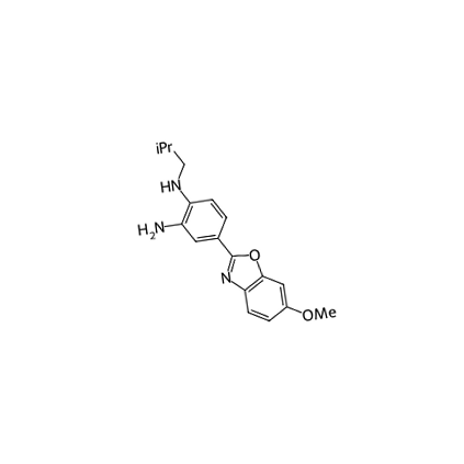 COc1ccc2nc(-c3ccc(NCC(C)C)c(N)c3)oc2c1